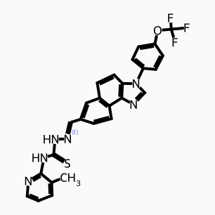 Cc1cccnc1NC(=S)N/N=C/c1ccc2c(ccc3c2ncn3-c2ccc(OC(F)(F)F)cc2)c1